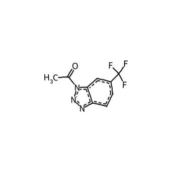 CC(=O)n1nnc2ccc(C(F)(F)F)cc21